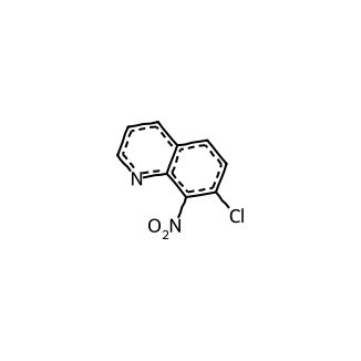 O=[N+]([O-])c1c(Cl)ccc2cccnc12